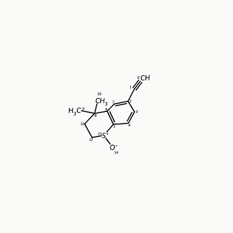 C#Cc1ccc2c(c1)C(C)(C)CC[S+]2[O-]